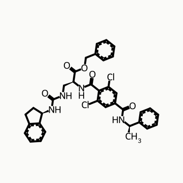 C[C@@H](NC(=O)c1cc(Cl)c(C(=O)N[C@@H](CNC(=O)N[C@@H]2CCc3ccccc32)C(=O)OCc2ccccc2)c(Cl)c1)c1ccccc1